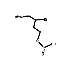 CCCCCCCC(CC)CCO[PH](=O)O